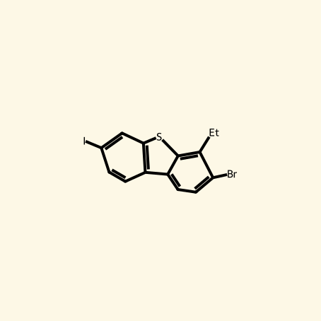 CCc1c(Br)ccc2c1sc1cc(I)ccc12